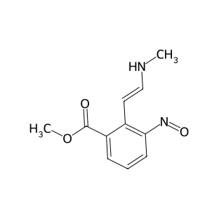 CN/C=C/c1c(N=O)cccc1C(=O)OC